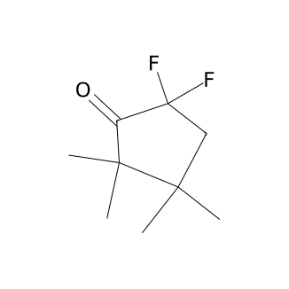 CC1(C)CC(F)(F)C(=O)C1(C)C